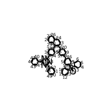 O=P(c1ccccc1)(c1ccccc1)c1ccc(-c2ccc(-c3ccc4ccccc4c3-c3ccc(-c4nc(-c5ccccc5)nc(-c5ccccc5)n4)cc3)cc2)cc1